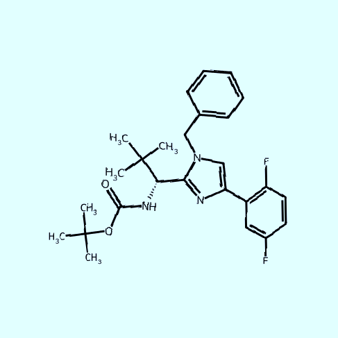 CC(C)(C)OC(=O)N[C@@H](c1nc(-c2cc(F)ccc2F)cn1Cc1ccccc1)C(C)(C)C